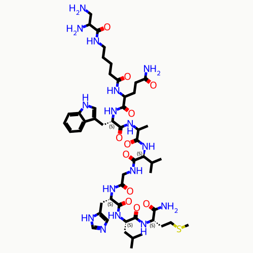 CSCC[C@H](NC(=O)[C@H](CC(C)C)NC(=O)[C@H](Cc1cnc[nH]1)NC(=O)CNC(=O)[C@@H](NC(=O)C(C)NC(=O)[C@H](Cc1c[nH]c2ccccc12)NC(=O)C(CCC(N)=O)NC(=O)CCCCNC(=O)C(N)CN)C(C)C)C(N)=O